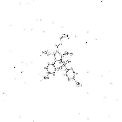 C=CCS[C@H]1[C@@H](C(=O)O)[C@H](c2ccc(Br)cc2)N(S(=O)(=O)c2ccc(C)cc2)[C@@H]1CCCCCC